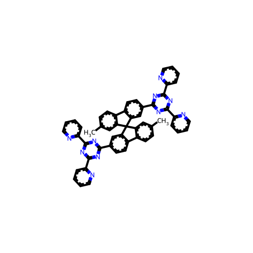 Cc1ccc2c(c1)C1(c3cc(C)ccc3-c3ccc(-c4nc(-c5ccccn5)nc(-c5ccccn5)n4)cc31)c1cc(-c3nc(-c4ccccn4)nc(-c4ccccn4)n3)ccc1-2